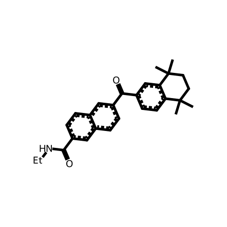 CCNC(=O)c1ccc2cc(C(=O)c3ccc4c(c3)C(C)(C)CCC4(C)C)ccc2c1